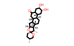 C[C@@H]1CC[C@@]2(OC1)O[C@H]1C[C@H]3[C@@H]4CC(=O)C5C[C@H](O)[C@H](O)C[C@]5(C)[C@H]4CC[C@]3(C)[C@H]1[C@@H]2C